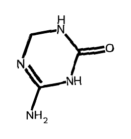 NC1=NCNC(=O)N1